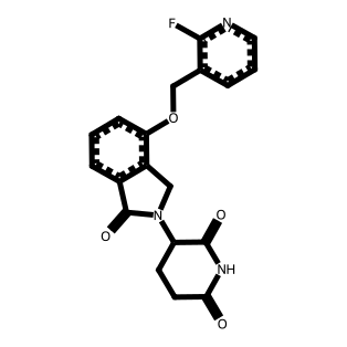 O=C1CCC(N2Cc3c(OCc4cccnc4F)cccc3C2=O)C(=O)N1